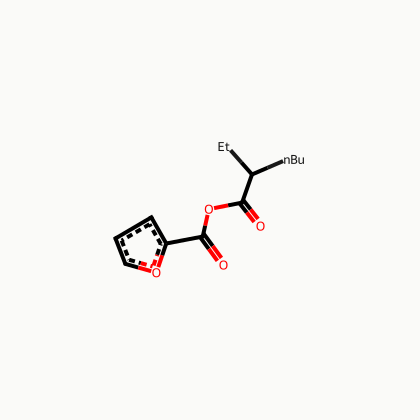 CCCCC(CC)C(=O)OC(=O)c1ccco1